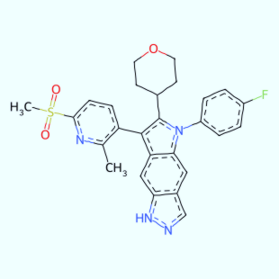 Cc1nc(S(C)(=O)=O)ccc1-c1c(C2CCOCC2)n(-c2ccc(F)cc2)c2cc3cn[nH]c3cc12